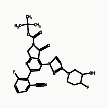 CC(C)(C)OC(=O)N1Cc2nc(-c3c(F)cccc3C#N)cc(-n3ccc(N4CCC(F)C(O)C4)n3)c2C1=O